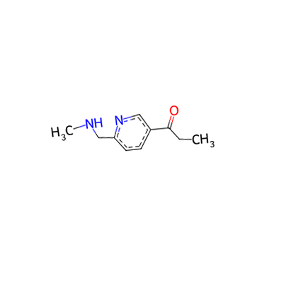 CCC(=O)c1ccc(CNC)nc1